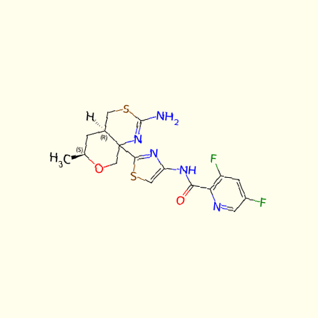 C[C@H]1C[C@H]2CSC(N)=NC2(c2nc(NC(=O)c3ncc(F)cc3F)cs2)CO1